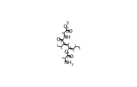 CC/C=C(\C=C(/CC)C(=O)NCC(=O)OC)OC(=O)CN